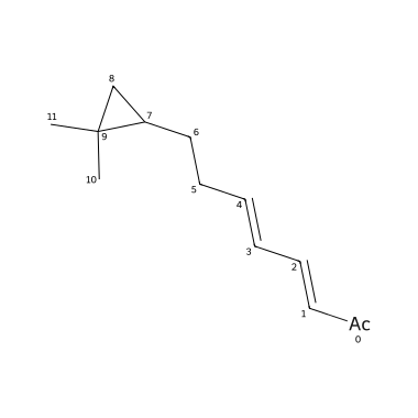 CC(=O)C=CC=CCCC1CC1(C)C